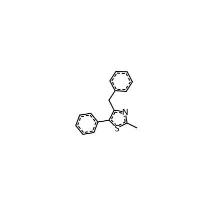 Cc1nc(Cc2ccccc2)c(-c2ccccc2)s1